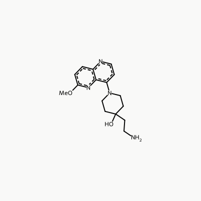 COc1ccc2nccc(N3CCC(O)(CCN)CC3)c2n1